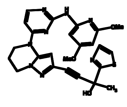 COc1cc(Nc2nccc(N3CCCn4nc(C#CC(C)(O)c5nccs5)cc43)n2)nc(OC)c1